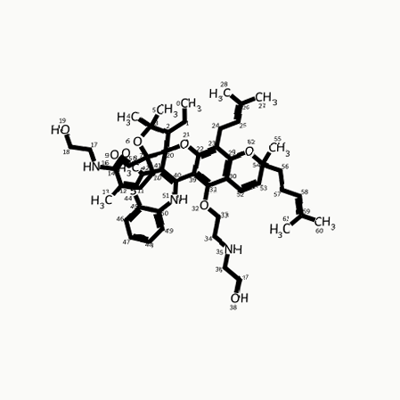 CCC1C(C)(C)OC(C=O)(C/C=C(/C)C(=O)NCCO)C12Oc1c(CC=C(C)C)c3c(c(OCCNCCO)c1C1=C2C(C)Sc2ccccc2N1)C=CC(C)(CCC=C(C)C)O3